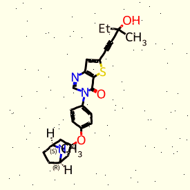 CCC(C)(O)C#Cc1cc2ncn(-c3ccc(O[C@H]4C[C@H]5CC[C@@H](C4)N5C)cc3)c(=O)c2s1